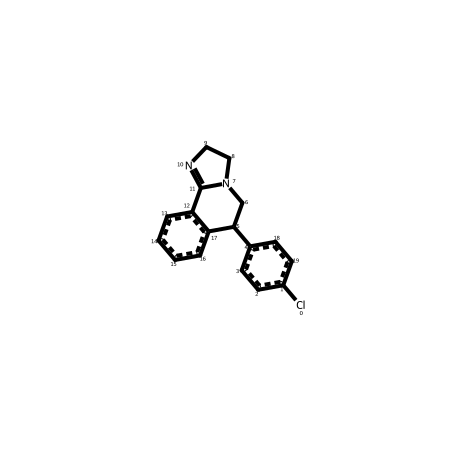 Clc1ccc(C2CN3CCN=C3c3ccccc32)cc1